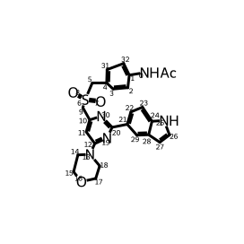 CC(=O)Nc1ccc(CS(=O)(=O)Cc2cc(N3CCOCC3)nc(-c3ccc4[nH]ccc4c3)n2)cc1